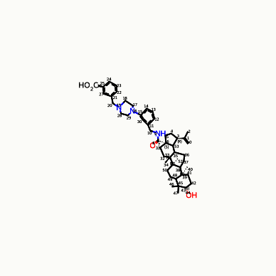 C=C(C)[C@@H]1CC[C@]2(C(=O)NCc3cccc(N4CCN(Cc5cccc(C(=O)O)c5)CC4)c3)CC[C@]3(C)C(CCC4[C@@]5(C)CC[C@H](O)C(C)(C)C5CC[C@]43C)C12